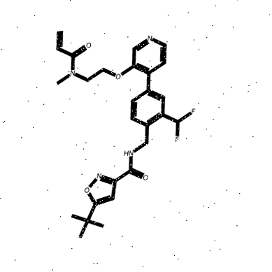 C=CC(=O)N(C)CCOc1cnccc1-c1ccc(CNC(=O)c2cc(C(C)(C)C)on2)c(C(F)F)c1